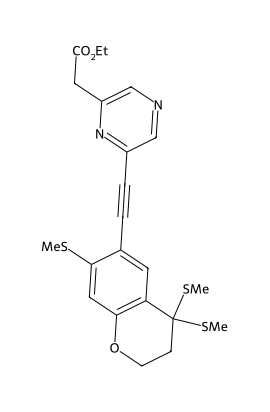 CCOC(=O)Cc1cncc(C#Cc2cc3c(cc2SC)OCCC3(SC)SC)n1